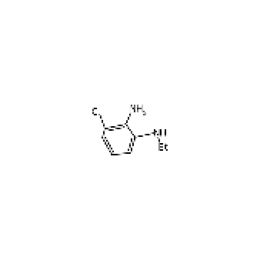 CCNc1cccc(Cl)c1N